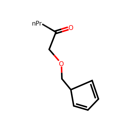 CCCC(=O)COCC1C=CC=C1